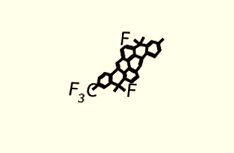 Cc1ccc2c(c1)C(C)(C)c1c(F)cc3cc4c5c(c(F)cc6cc-2c1c3c65)C(C)(C)c1cc(C(F)(F)F)ccc1-4